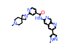 CN1CCC2(CC1)CN(c1cc(C(=O)Nc3cc4cc(-c5cnn(C)c5)cnc4cn3)ccn1)C2